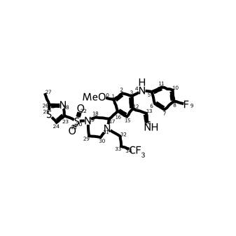 COc1cc(Nc2ccc(F)cc2)c(C=N)cc1C1CN(S(=O)(=O)c2csc(C)n2)CCN1CCC(F)(F)F